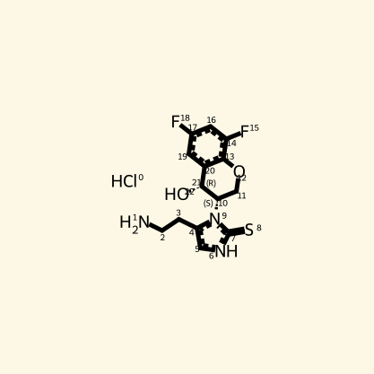 Cl.NCCc1c[nH]c(=S)n1[C@H]1COc2c(F)cc(F)cc2[C@H]1O